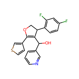 OC(C1=C(c2ccsc2)OCC1c1ccc(F)cc1F)c1cccnc1